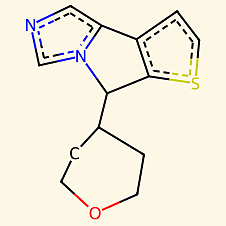 c1cc2c(s1)C(C1CCOCC1)n1cncc1-2